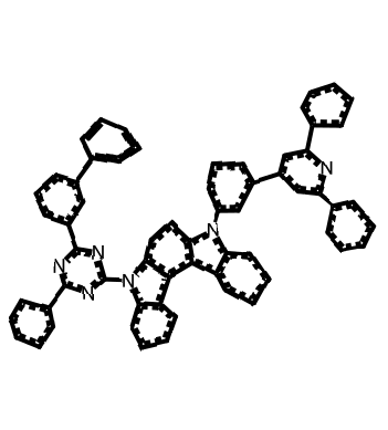 C1=C=C(c2cccc(-c3nc(-c4ccccc4)nc(-n4c5ccccc5c5c6c7ccccc7n(-c7cccc(-c8cc(-c9ccccc9)nc(-c9ccccc9)c8)c7)c6ccc54)n3)c2)C=CC=1